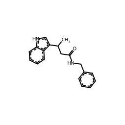 CC(CC(=O)NCc1ccccc1)c1c[nH]c2ccccc12